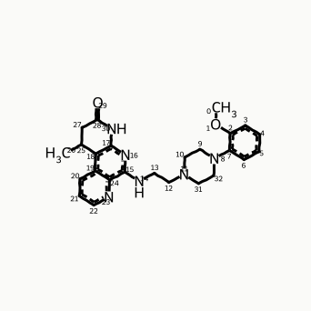 COc1ccccc1N1CCN(CCNc2nc3c(c4cccnc24)C(C)CC(=O)N3)CC1